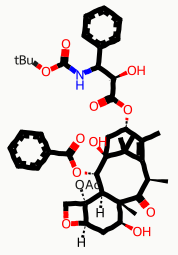 CC(=O)O[C@@]12CO[C@@H]1C[C@H](O)[C@@]1(C)C(=O)[C@H](C)C3=C(C)[C@@H](OC(=O)[C@H](O)C(NC(=O)OC(C)(C)C)c4ccccc4)C[C@@](O)([C@@H](OC(=O)c4ccccc4)[C@H]21)C3(C)C